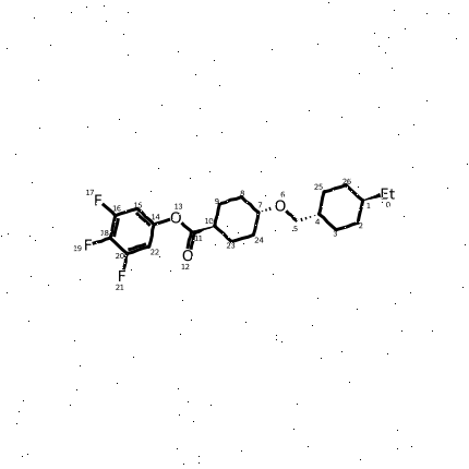 CC[C@H]1CC[C@H](CO[C@H]2CC[C@H](C(=O)Oc3cc(F)c(F)c(F)c3)CC2)CC1